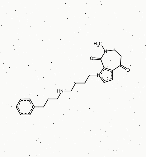 CN1CCC(=O)c2ccn(CCCCNCCCc3ccccc3)c2C1=O